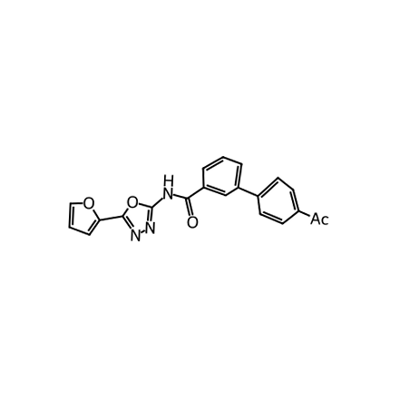 CC(=O)c1ccc(-c2cccc(C(=O)Nc3nnc(-c4ccco4)o3)c2)cc1